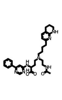 CC(=O)NCCN(CCCCc1ccc2c(n1)NCCC2)CCC(Nc1cc(-c2ccccc2)ncn1)C(=O)O